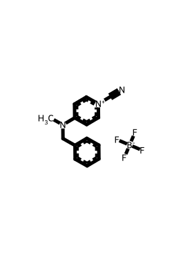 CN(Cc1ccccc1)c1cc[n+](C#N)cc1.F[B-](F)(F)F